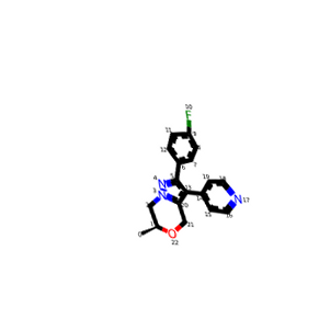 C[C@H]1Cn2nc(-c3ccc(F)cc3)c(-c3ccncc3)c2CO1